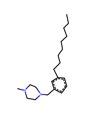 CCCCCCCCCc1cccc(CN2CCN(C)CC2)c1